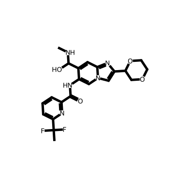 CNC(O)c1cc2nc(C3COCCO3)cn2cc1NC(=O)c1cccc(C(C)(F)F)n1